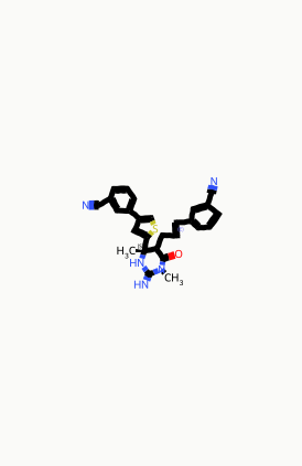 CN1C(=N)N[C@](C)(c2cc(-c3cccc(C#N)c3)cs2)C(C/C=C/c2cccc(C#N)c2)C1=O